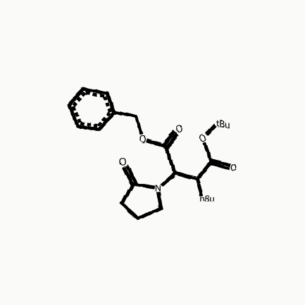 CCCCC(C(=O)OC(C)(C)C)C(C(=O)OCc1ccccc1)N1CCCC1=O